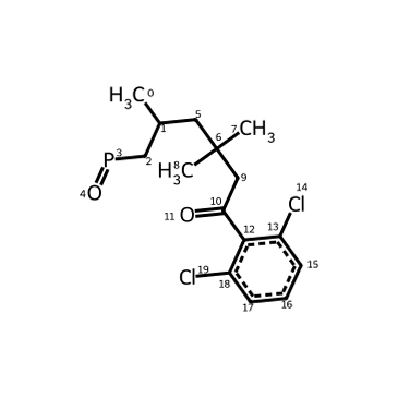 CC(CP=O)CC(C)(C)CC(=O)c1c(Cl)cccc1Cl